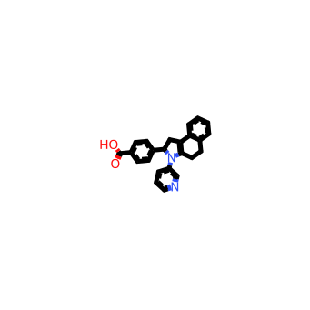 O=C(O)c1ccc(C2CC3=C(CCc4ccccc43)N2c2cccnc2)cc1